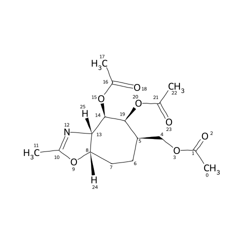 CC(=O)OC[C@H]1CC[C@@H]2OC(C)=N[C@@H]2[C@@H](OC(C)=O)[C@H]1OC(C)=O